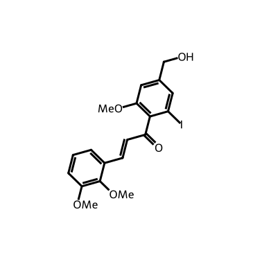 COc1cccc(/C=C/C(=O)c2c(I)cc(CO)cc2OC)c1OC